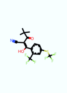 CC(C)(C)C(=O)C(C#N)=C(O)c1ccc(SC(F)(F)F)cc1C(F)(F)F